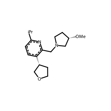 CO[C@H]1CCN(Cc2nc(C(C)C)ccc2[C@@H]2CCOC2)C1